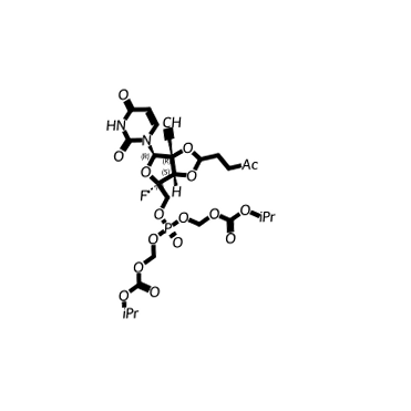 C#C[C@@]12OC(CCC(C)=O)O[C@@H]1[C@@](F)(COP(=O)(OCOC(=O)OC(C)C)OCOC(=O)OC(C)C)O[C@H]2n1ccc(=O)[nH]c1=O